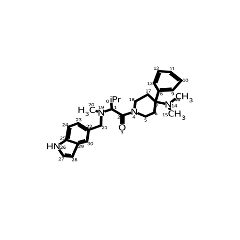 CC(C)C(C(=O)N1CCC(c2ccccc2)(N(C)C)CC1)N(C)Cc1ccc2[nH]ccc2c1